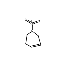 O=[SH](=O)N1CC=CCC1